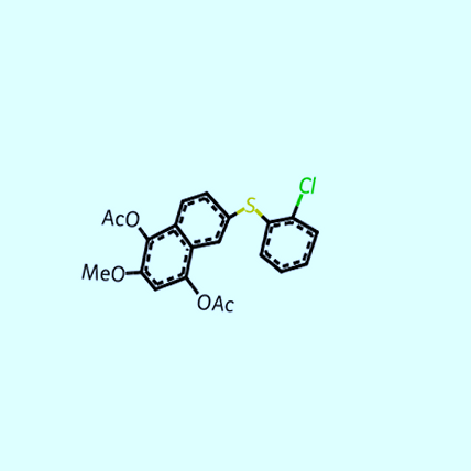 COc1cc(OC(C)=O)c2cc(Sc3ccccc3Cl)ccc2c1OC(C)=O